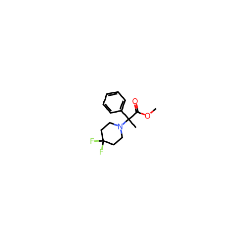 COC(=O)C(C)(c1ccccc1)N1CCC(F)(F)CC1